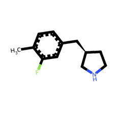 Cc1ccc(C[C@H]2CCNC2)cc1F